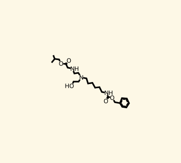 CC(C)COC(=O)CNCCN(CCO)CCCCCCNC(=O)OCc1ccccc1